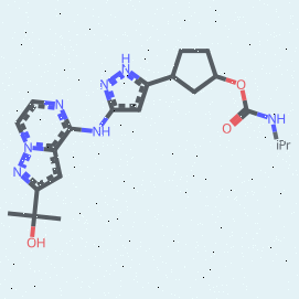 CC(C)NC(=O)OC1CCC(c2cc(Nc3nccn4nc(C(C)(C)O)cc34)n[nH]2)C1